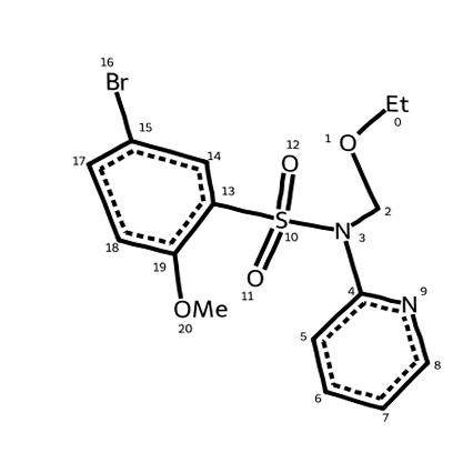 CCOCN(c1ccccn1)S(=O)(=O)c1cc(Br)ccc1OC